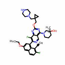 C#Cc1c(F)ccc2cc(OCOC)cc(-c3ncc4c(N5CCC[C@@](C)(O)C5)nc(OCC5(CN6CCNCC6)CC5)nc4c3F)c12